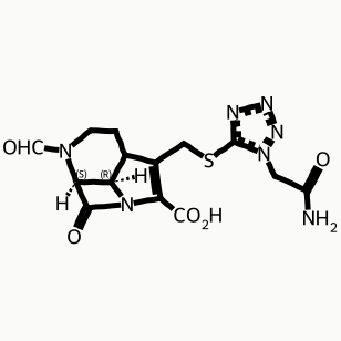 NC(=O)Cn1nnnc1SCC1=C(C(=O)O)N2C(=O)[C@@H]3[C@H]2C1CCN3C=O